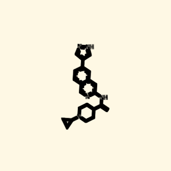 C=C(Nc1cc2cc(-c3cn[nH]c3)ccc2cn1)C1CCN(C2CC2)CC1